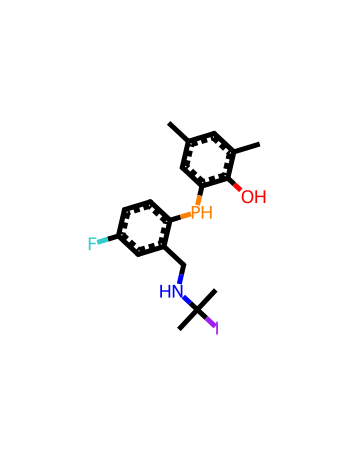 Cc1cc(C)c(O)c(Pc2ccc(F)cc2CNC(C)(C)I)c1